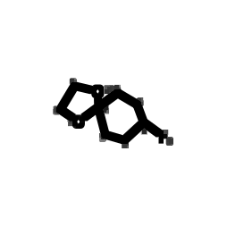 FC1CCC2(CC1)OCCO2